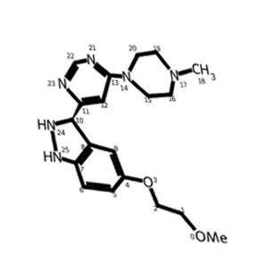 COCCOc1ccc2c(c1)[C@H](c1cc(N3CCN(C)CC3)ncn1)NN2